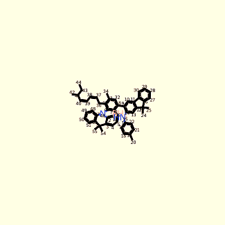 B/C=C1C2=C/C=C\c3c(-c4cc5c(cc4Nc4ccc(C)cc4)C(C)(C)c4ccccc4-5)cc(C)c(C/C=C\C=C/C(C)CC)c3N/1c1ccccc1C2(C)C